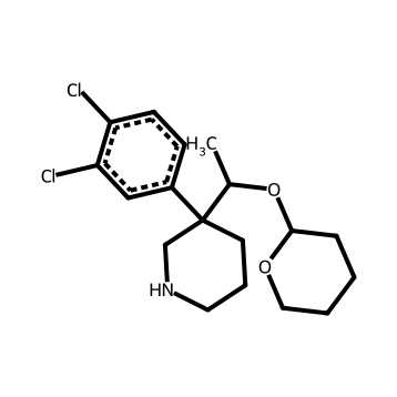 CC(OC1CCCCO1)C1(c2ccc(Cl)c(Cl)c2)CCCNC1